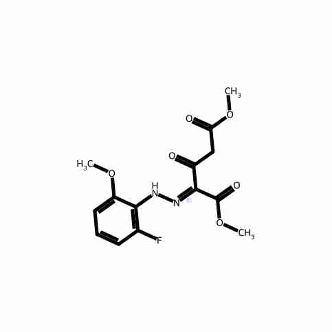 COC(=O)CC(=O)/C(=N\Nc1c(F)cccc1OC)C(=O)OC